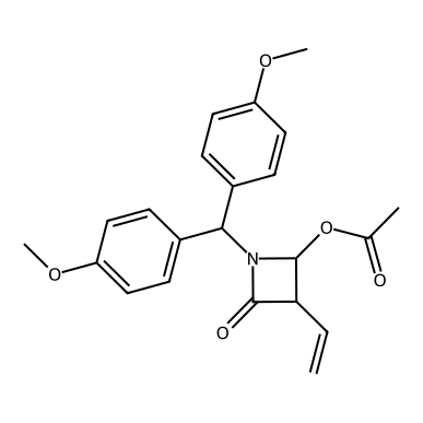 C=CC1C(=O)N(C(c2ccc(OC)cc2)c2ccc(OC)cc2)C1OC(C)=O